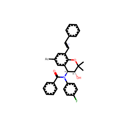 CC(=O)c1cc(/C=C/c2ccccc2)c2c(c1)[C@H](N(C(=O)c1ccccc1)c1ccc(F)cc1)[C@@H](O)C(C)(C)O2